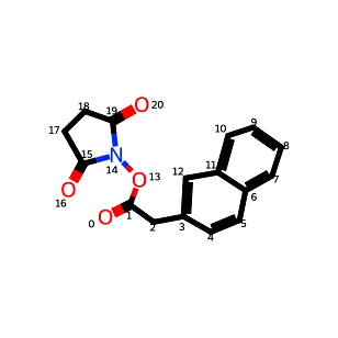 O=C(Cc1ccc2ccccc2c1)ON1C(=O)CCC1=O